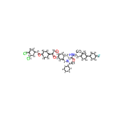 CC[C@@H](c1ccccc1)N1Cc2cc3c(cc2C[C@H]1C(=O)N[C@@H](Cc1ccc(-c2ccc(F)cc2)cc1)C(=O)O)OC[C@H](c1ccc(OCc2ccc(Cl)c(Cl)c2)cc1)O3